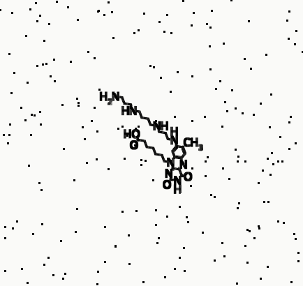 Cc1cc2nc3c(=O)[nH]c(=O)nc-3n(CCCCCCC(=O)O)c2cc1NCCCNCCCCNCCCN